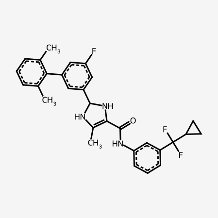 CC1=C(C(=O)Nc2cccc(C(F)(F)C3CC3)c2)NC(c2cc(F)cc(-c3c(C)cccc3C)c2)N1